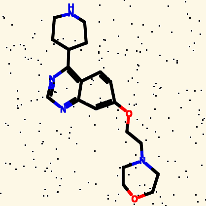 c1nc(C2CCNCC2)c2ccc(OCCN3CCOCC3)cc2n1